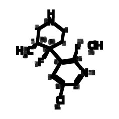 C[C@H]1CNCC[C@]1(F)c1cc(Cl)cnc1F.Cl